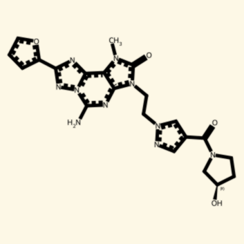 Cn1c(=O)n(CCn2cc(C(=O)N3CC[C@@H](O)C3)cn2)c2nc(N)n3nc(-c4ccco4)nc3c21